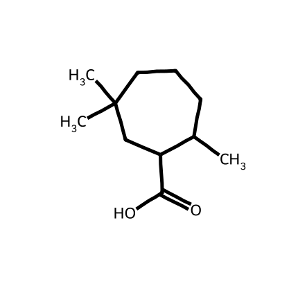 CC1CCCC(C)(C)CC1C(=O)O